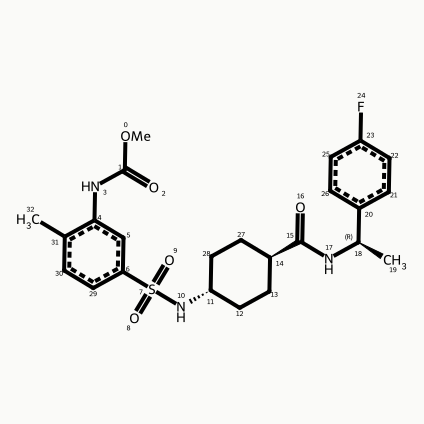 COC(=O)Nc1cc(S(=O)(=O)N[C@H]2CC[C@H](C(=O)N[C@H](C)c3ccc(F)cc3)CC2)ccc1C